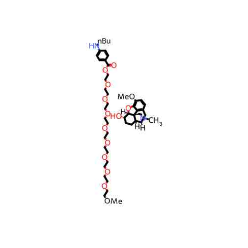 CCCCNc1ccc(C(=O)OCCOCCOCCOCCOCCOCCOCCOCCOCCOC)cc1.COc1ccc2c3c1O[C@H]1[C@@H](O)CC[C@H]4[C@@H](C2)N(C)CC[C@@]341